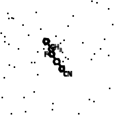 C[C@@H](Cc1c(F)cc(C2CCC(c3ccc(C#N)cc3)CC2)cc1F)c1ccccc1